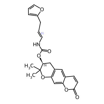 CC1(C)Oc2cc3oc(=O)ccc3cc2C[C@@H]1OC(=O)N/C=C/Cc1ccco1